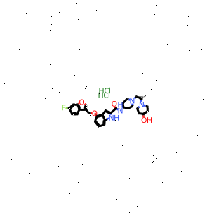 C[C@@H](CN1CCC(NC(=O)c2cc3c(OCc4coc5cc(F)ccc45)cccc3[nH]2)CC1)N1CCC(O)CC1.Cl.Cl